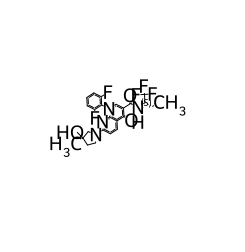 CC[C@H](NC(=O)c1cn(-c2c(F)cccc2F)c2nc(N3CCC(C)(O)C3)ccc2c1=O)C(F)(F)F